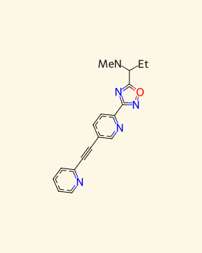 CCC(NC)c1nc(-c2ccc(C#Cc3ccccn3)cn2)no1